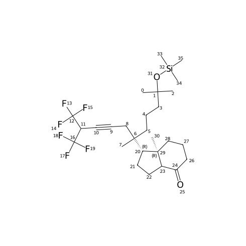 CC(C)(CCCC(C)(CC#CC(C(F)(F)F)C(F)(F)F)[C@H]1CCC2C(=O)CCC[C@@]21C)O[Si](C)(C)C